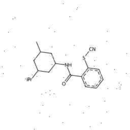 CC1CC(NC(=O)c2ccccc2SC#N)CC(C(C)C)C1